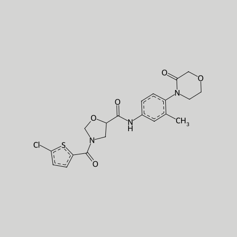 Cc1cc(NC(=O)C2CN(C(=O)c3ccc(Cl)s3)CO2)ccc1N1CCOCC1=O